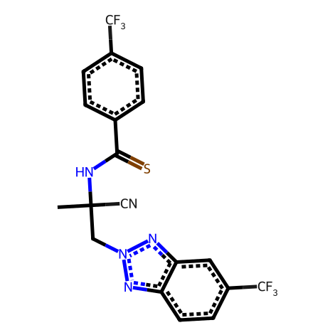 CC(C#N)(Cn1nc2ccc(C(F)(F)F)cc2n1)NC(=S)c1ccc(C(F)(F)F)cc1